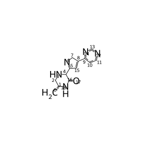 C=C1CNC(C2=NCC(c3ccncn3)=C2)C(=O)N1